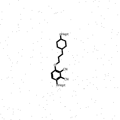 CCCCCCCc1ccc(OCCCC2CCC(CCCCCCC)CC2)c(C#N)c1C#N